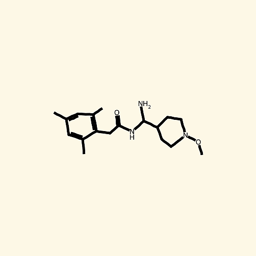 CON1CCC(C(N)NC(=O)Cc2c(C)cc(C)cc2C)CC1